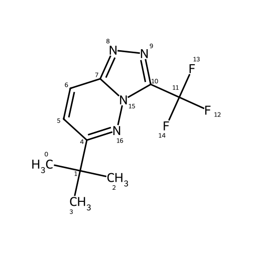 CC(C)(C)c1ccc2nnc(C(F)(F)F)n2n1